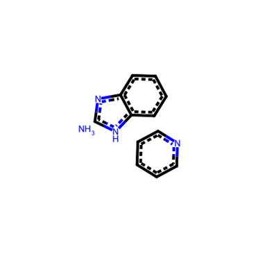 N.c1ccc2[nH]cnc2c1.c1ccncc1